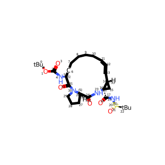 CC(C)(C)OC(=O)N[C@H]1CCCCCC=C=C[C@@H]2C[C@@]2(C(=O)N[S@+]([O-])C(C)(C)C)NC(=O)[C@@H]2CCCN2C1=O